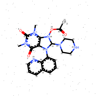 Cn1c2c(c(=O)n(C)c1=O)N(c1cccc3cccnc13)C(N1CCNCC1)N2OC(=O)C(F)(F)F